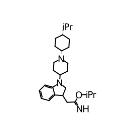 CC(C)OC(=N)CC1CN(C2CCN([C@H]3CC[C@@H](C(C)C)CC3)CC2)c2ccccc21